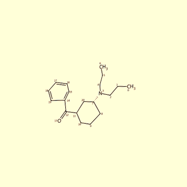 CCCN(CCC)[C@@H]1CCCC(C(=O)c2ccccc2)C1